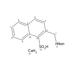 CCCCCCCCCCc1ccc2ccccc2c1S(=O)(=O)O.[CaH2]